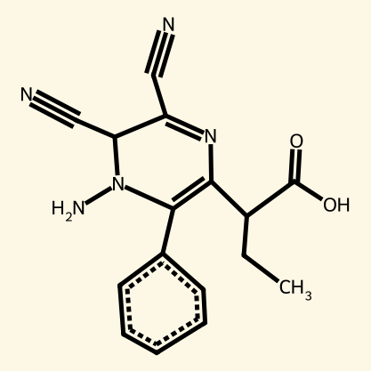 CCC(C(=O)O)C1=C(c2ccccc2)N(N)C(C#N)C(C#N)=N1